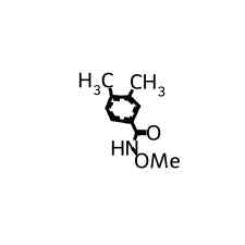 CONC(=O)c1ccc(C)c(C)c1